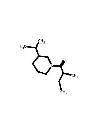 CCC(C)C(=O)N1CCCC(C(C)C)C1